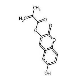 C=C(C)C(=O)Oc1cc2cc(O)ccc2oc1=O